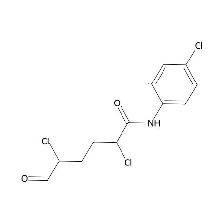 O=CC(Cl)CCC(Cl)C(=O)Nc1[c]cc(Cl)cc1